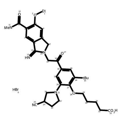 Br.CCOc1cc2c(cc1C(=O)NC)C(=N)N(CC(=O)c1cc(N3CCC(C#N)C3)c(OCCCCC(=O)O)c(C(C)(C)C)c1)C2